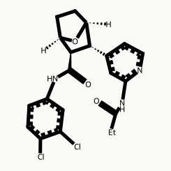 CCC(=O)Nc1cc([C@@H]2[C@@H](C(=O)Nc3ccc(Cl)c(Cl)c3)[C@H]3CC[C@@H]2O3)ccn1